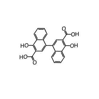 O=C(O)c1cc(-c2cc(C(=O)O)c(O)c3ccccc23)c2ccccc2c1O